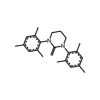 C=C1N(c2c(C)cc(C)cc2C)CCCN1c1c(C)cc(C)cc1C